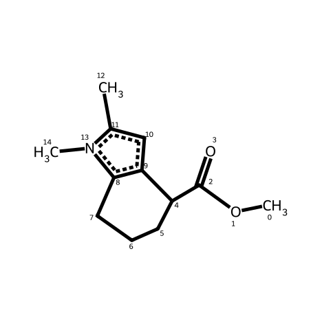 COC(=O)C1CCCc2c1cc(C)n2C